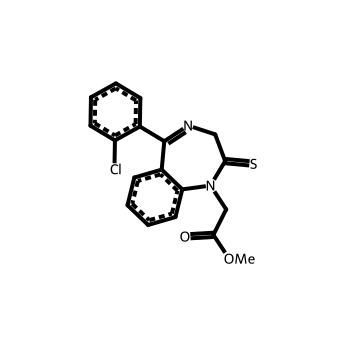 COC(=O)CN1C(=S)CN=C(c2ccccc2Cl)c2ccccc21